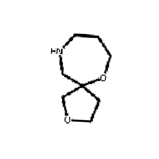 C1CNCC2(CCOC2)OC1